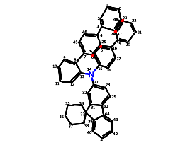 c1ccc(-c2ccc(-c3ccccc3N(c3ccc(-c4ccccc4)cc3)c3ccc4c(c3)C3(CCCCC3)c3ccccc3-4)cc2)cc1